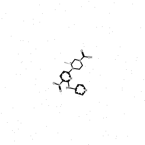 C[C@@H]1CN(C(=O)O)CCN1c1ccc([N+](=O)[O-])c(Nc2ccncc2)n1